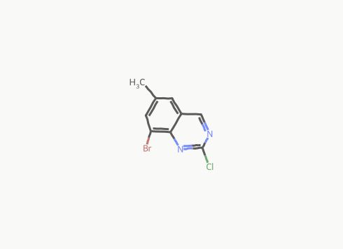 Cc1cc(Br)c2nc(Cl)ncc2c1